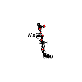 COC(=O)CCc1c(OCCCCCOc2cc(-c3ccccc3)cc(-c3ccccc3)n2)cccc1OCCCC(=O)NCCCOCCOCCOCCCN(C=O)OC(C)(C)C